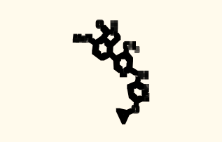 CNc1ccc(-c2cnc(Nc3ccc(OC4CC4)nn3)cc2C)c2c1C(=O)NC2